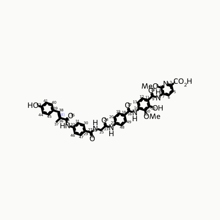 COc1nc(C(=O)O)ccc1NC(=O)c1ccc(NC(=O)c2ccc(NC(=O)CNC(=O)c3ccc(NC(=O)/C(C)=C/c4ccc(O)cc4)cc3)cc2)c(OC)c1O